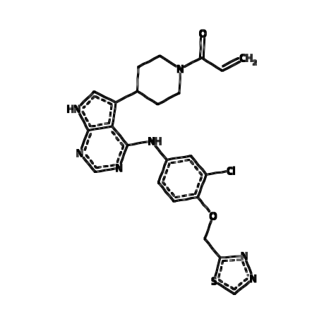 C=CC(=O)N1CCC(c2c[nH]c3ncnc(Nc4ccc(OCc5nncs5)c(Cl)c4)c23)CC1